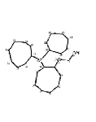 OCNC1CCCCCCC1P(C1CCCCCCC1)C1CCCCCC1